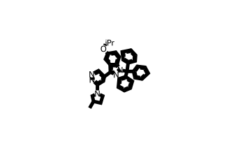 CC1CCN(c2cc(-c3nn(C(c4ccccc4)(c4ccccc4)c4ccccc4)c4ccc(OC(C)C)cc34)cnn2)C1